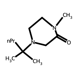 CCCC(C)(C)N1CCN(C)C(=O)C1